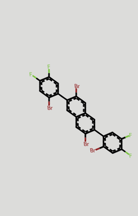 Fc1cc(Br)c(-c2cc3cc(Br)c(-c4cc(F)c(F)cc4Br)cc3cc2Br)cc1F